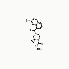 CC(C)(C)OC(=O)N1CCN(C(=O)c2ccnc3ccc(Br)cc23)CC12CC2